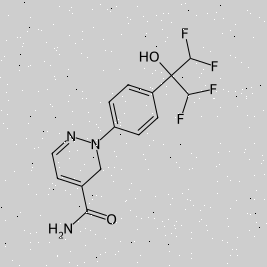 NC(=O)C1=CC=NN(c2ccc(C(O)(C(F)F)C(F)F)cc2)C1